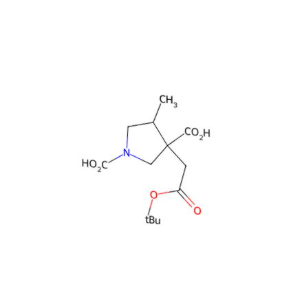 CC1CN(C(=O)O)CC1(CC(=O)OC(C)(C)C)C(=O)O